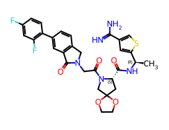 C[C@@H](NC(=O)[C@@H]1CC2(CN1C(=O)CN1Cc3ccc(-c4ccc(F)cc4F)cc3C1=O)OCCO2)c1cc(C(=N)N)cs1